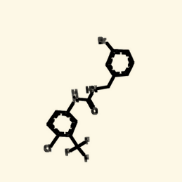 O=C(NCc1cccc(Br)c1)Nc1ccc(Cl)c(C(F)(F)F)c1